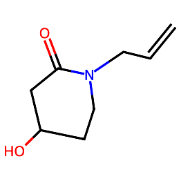 C=CCN1CCC(O)CC1=O